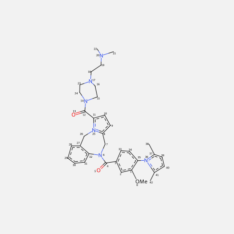 COc1cc(C(=O)N2Cc3ccc(C(=O)N4CCN(CCN(C)C)CC4)n3Cc3ccccc32)ccc1-n1c(C)ccc1C